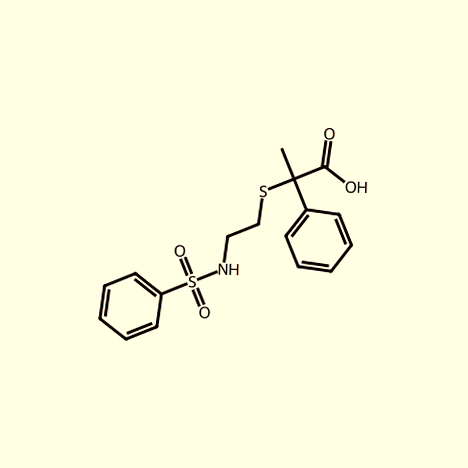 CC(SCCNS(=O)(=O)c1ccccc1)(C(=O)O)c1ccccc1